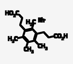 Cc1c(C)c(CCC(=O)O)c(C)c(CCC(=O)O)c1C.[Rh]